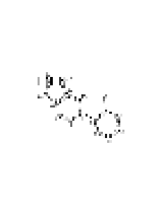 Cc1ccccc1-c1ccc2c[nH]nc2c1